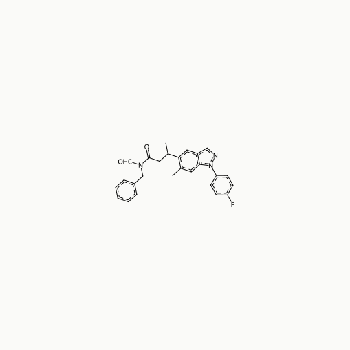 Cc1cc2c(cnn2-c2ccc(F)cc2)cc1C(C)CC(=O)N(C=O)Cc1ccccc1